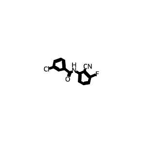 N#Cc1c(F)cccc1NC(=O)c1cccc(Cl)c1